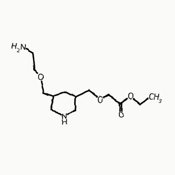 CCOC(=O)COCC1CNCC(COCCN)C1